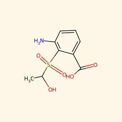 CC(O)S(=O)(=O)c1c(N)cccc1C(=O)O